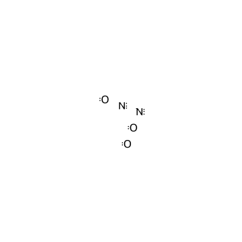 [N].[N].[O].[O].[O]